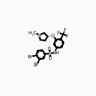 CN1CC[C@@H](Oc2cc(NS(=O)(=O)c3ccc(Br)c(Br)c3)ccc2C(F)(F)F)C1